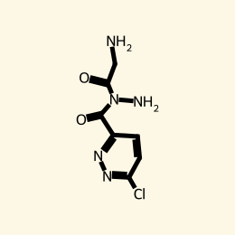 NCC(=O)N(N)C(=O)c1ccc(Cl)nn1